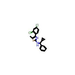 Cc1sc(NC(c2ccccc2)C2CC2)nc1-c1ccc(Cl)cc1Cl